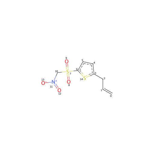 C=CCc1ccc(S(=O)(=O)C[N+](=O)[O-])s1